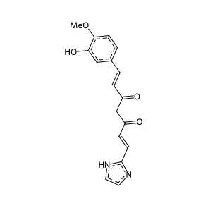 COc1ccc(/C=C/C(=O)CC(=O)/C=C/c2ncc[nH]2)cc1O